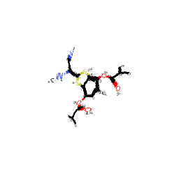 [C-]#[N+]C(C#N)=C1Sc2c(OC(=O)C(C)C)ccc(OC(=O)C(C)C)c2S1